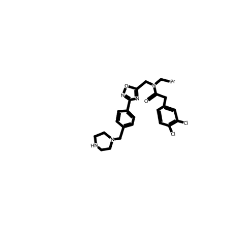 CC(C)CN(Cc1nc(-c2ccc(CN3CCNCC3)cc2)no1)C(=O)Cc1ccc(Cl)c(Cl)c1